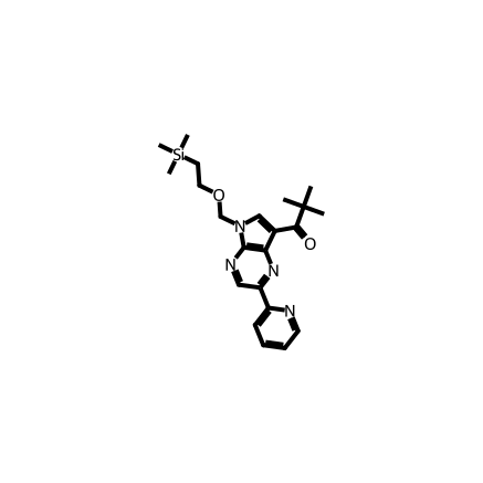 CC(C)(C)C(=O)c1cn(COCC[Si](C)(C)C)c2ncc(-c3ccccn3)nc12